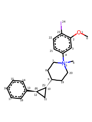 COc1cc([N+]2(C)CCC([C@@H]3C[C@H]3c3ccccc3)CC2)ccc1I